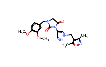 COc1ccc(CN2CC(=O)N(/C(C=N)=C/NCc3c(C)noc3C)C2=O)cc1OC